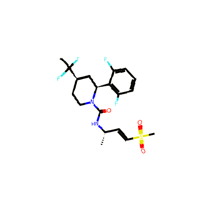 C[C@@H](/C=C/S(C)(=O)=O)NC(=O)N1CC[C@@H](C(C)(F)F)C[C@H]1c1c(F)cccc1F